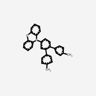 Cc1ccc(-c2ccc(N3c4ccccc4Oc4ccccc43)cc2-c2ccc(C)cc2)cc1